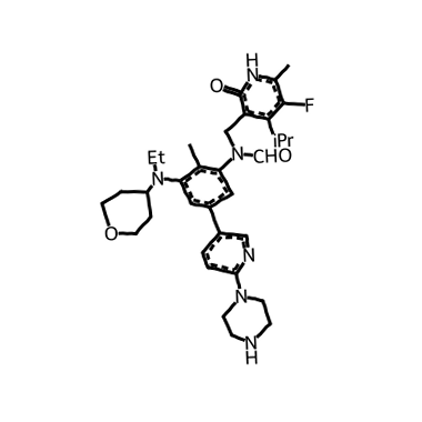 CCN(c1cc(-c2ccc(N3CCNCC3)nc2)cc(N(C=O)Cc2c(C(C)C)c(F)c(C)[nH]c2=O)c1C)C1CCOCC1